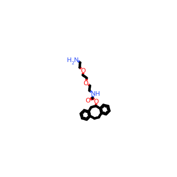 NCCOCCOCCNC(=O)OC1Cc2ccccc2CCc2ccccc21